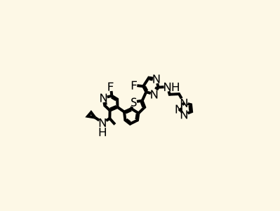 CC(NC1CC1)c1cnc(F)cc1-c1cccc2cc(-c3nc(NCCn4ccnn4)ncc3F)sc12